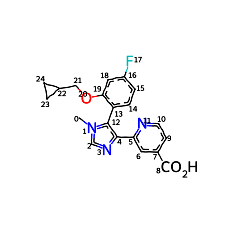 Cn1cnc(-c2cc(C(=O)O)ccn2)c1-c1ccc(F)cc1OCC1CC1